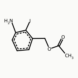 CC(=O)OCc1cccc(N)c1I